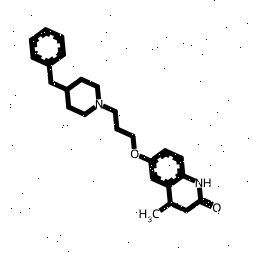 CC1CC(=O)Nc2ccc(OCCCN3CCC(Cc4ccccc4)CC3)cc21